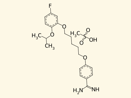 CC(C)Oc1ccc(F)cc1OCCCCCOc1ccc(C(=N)N)cc1.CS(=O)(=O)O